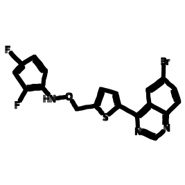 Fc1ccc(NOCc2ccc(-c3ncnc4ccc(Br)cc34)s2)c(F)c1